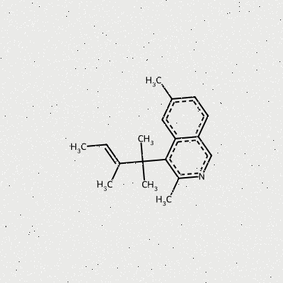 C/C=C(\C)C(C)(C)c1c(C)ncc2ccc(C)cc12